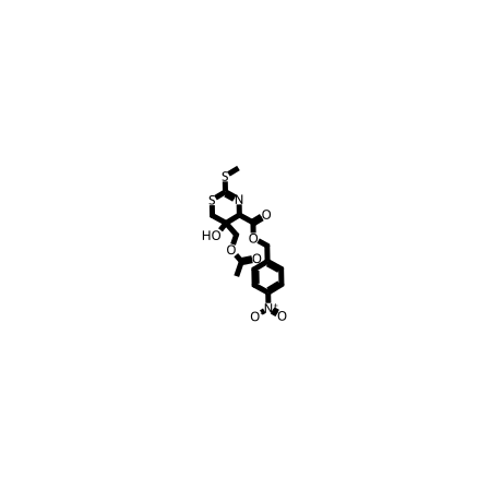 CSC1=NC(C(=O)OCc2ccc([N+](=O)[O-])cc2)C(O)(COC(C)=O)CS1